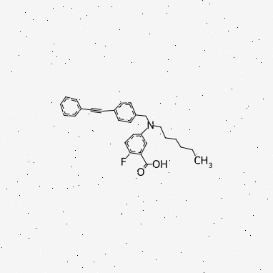 CCCCCCN(Cc1ccc(C#Cc2ccccc2)cc1)c1ccc(F)c(C(=O)O)c1